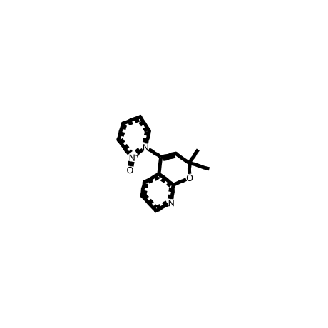 CC1(C)C=C(n2cccc[n+]2=O)c2cccnc2O1